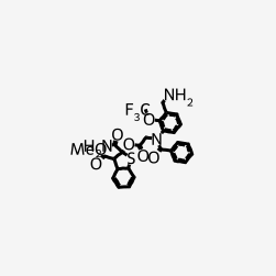 COC(=O)C1C2C=CC=CC2SC1(OC(=O)CN(C(=O)c1ccccc1)c1cccc(CN)c1OC(F)(F)F)C(N)=O